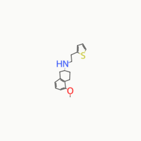 COc1cccc2c1CC[C@@H](NCCc1cccs1)C2